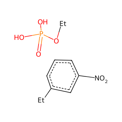 CCOP(=O)(O)O.CCc1cccc([N+](=O)[O-])c1